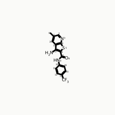 Cc1cnc2sc(C(=O)Nc3ccc(C(F)(F)F)cc3)c(N)c2c1